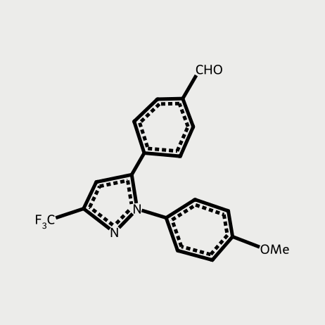 COc1ccc(-n2nc(C(F)(F)F)cc2-c2ccc(C=O)cc2)cc1